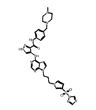 CN1CCN(Cc2ccc(NC(=O)c3n[nH]cc3Nc3ncnc4c3ccn4CCCn3ccc(S(=O)(=O)n4cncn4)c3)cc2)CC1